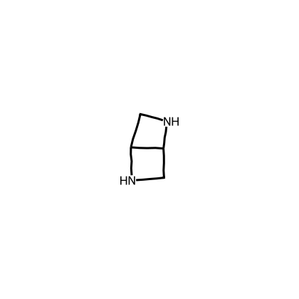 C1NC2CNC12